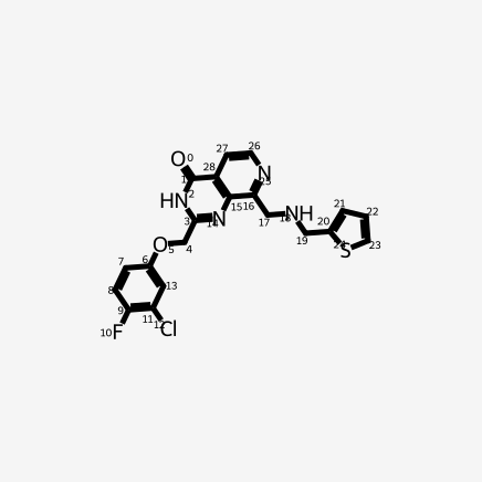 O=c1[nH]c(COc2ccc(F)c(Cl)c2)nc2c(CNCc3cccs3)nccc12